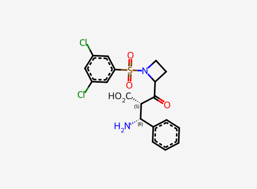 N[C@@H](c1ccccc1)[C@H](C(=O)O)C(=O)C1CCN1S(=O)(=O)c1cc(Cl)cc(Cl)c1